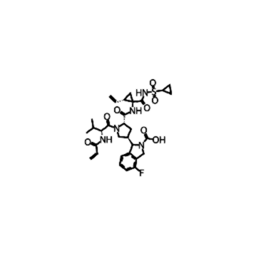 C=CC(=O)N[C@@H](C(=O)N1C[C@H](C2c3cccc(F)c3CN2C(=O)O)C[C@H]1C(=O)N[C@]1(C(=O)NS(=O)(=O)C2CC2)C[C@H]1C=C)C(C)C